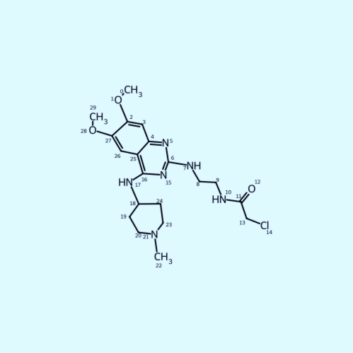 COc1cc2nc(NCCNC(=O)CCl)nc(NC3CCN(C)CC3)c2cc1OC